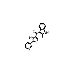 Cc1[nH]c2ccccc2c1C(=O)C1=CSC(c2cccnc2)N1